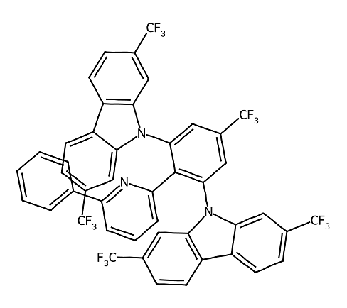 FC(F)(F)c1cc(-n2c3cc(C(F)(F)F)ccc3c3ccc(C(F)(F)F)cc32)c(-c2cccc(-c3ccccc3)n2)c(-n2c3cc(C(F)(F)F)ccc3c3ccc(C(F)(F)F)cc32)c1